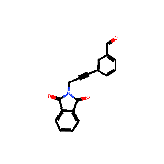 O=Cc1cccc(C#CCN2C(=O)c3ccccc3C2=O)c1